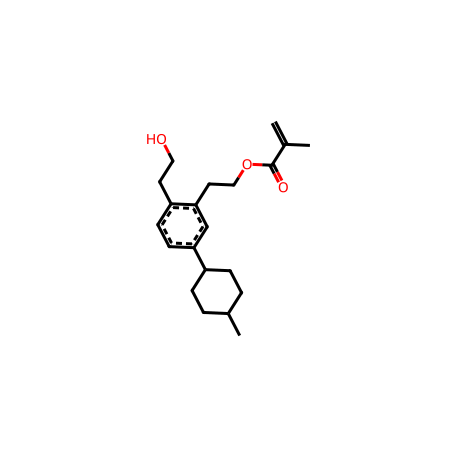 C=C(C)C(=O)OCCc1cc(C2CCC(C)CC2)ccc1CCO